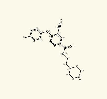 Cc1ccc(Oc2ccc(C(=O)NCCN3CCOCC3)cc2C#N)cc1